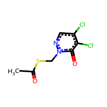 CC(=O)SCn1ncc(Cl)c(Cl)c1=O